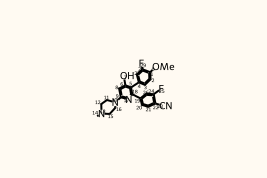 COc1ccc(-c2c(O)cc(N3CCN(C)CC3)nc2-c2ccc(C#N)c(F)c2)cc1F